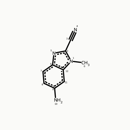 Cn1c(C#N)nc2ccc(N)cc21